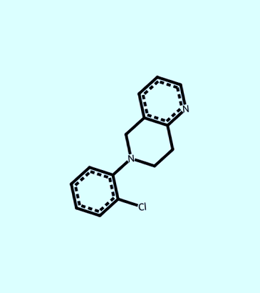 Clc1ccccc1N1CCc2ncccc2C1